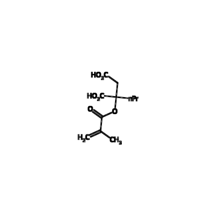 C=C(C)C(=O)OC(CCC)(CC(=O)O)C(=O)O